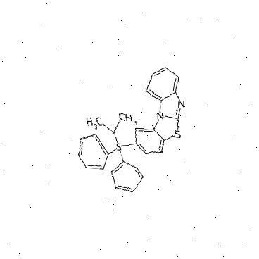 CC(C)S(c1ccccc1)(c1ccccc1)c1ccc2sc3nc4ccccc4n3c2c1